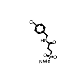 CNS(=O)(=O)CCC(=O)NCc1ccc(Cl)cc1